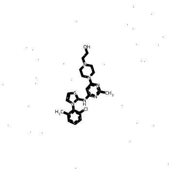 Cc1nc(NC2SC=CN2c2c(C)cccc2Cl)cc(N2CCN(CCO)CC2)n1